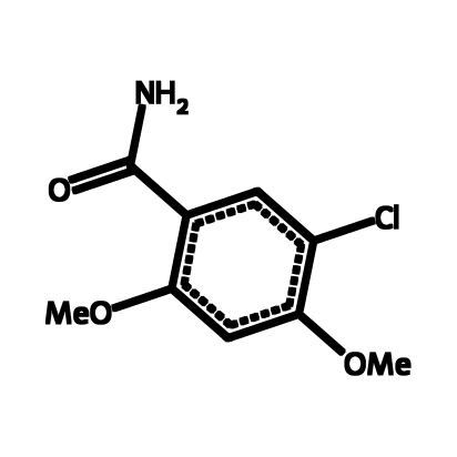 COc1cc(OC)c(C(N)=O)cc1Cl